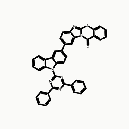 O=c1c2ccccc2sc2nc3ccc(-c4ccc5c(c4)c4ccccc4n5-c4nc(-c5ccccc5)nc(-c5ccccc5)n4)cc3n12